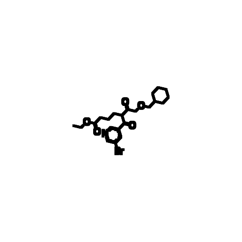 CCOC(=O)CCCC(C(=O)COCC1CCCCC1)C(=O)c1cncc(Br)c1